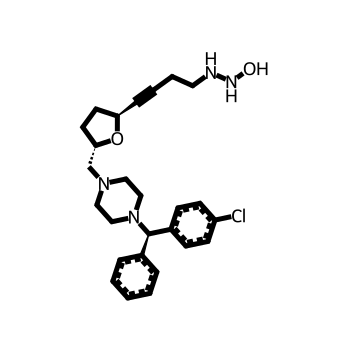 ONNCCC#C[C@@H]1CC[C@@H](CN2CCN([C@H](c3ccccc3)c3ccc(Cl)cc3)CC2)O1